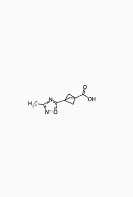 Cc1noc(C23CC(C(=O)O)(C2)C3)n1